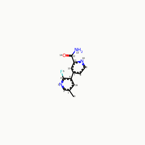 Cc1cnc(F)c(-c2ccnc(C(N)=O)c2)c1